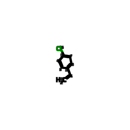 C=Cc1c[c]c(Cl)cc1